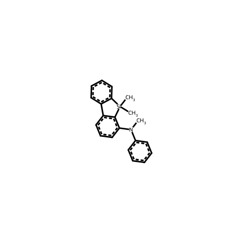 CN(c1ccccc1)c1cccc2c1[Si](C)(C)c1ccccc1-2